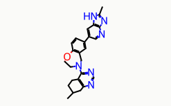 Cc1nc2ncc(-c3ccc4c(c3)CN(c3ncnc5c3CCC(C)C5)CCO4)cc2[nH]1